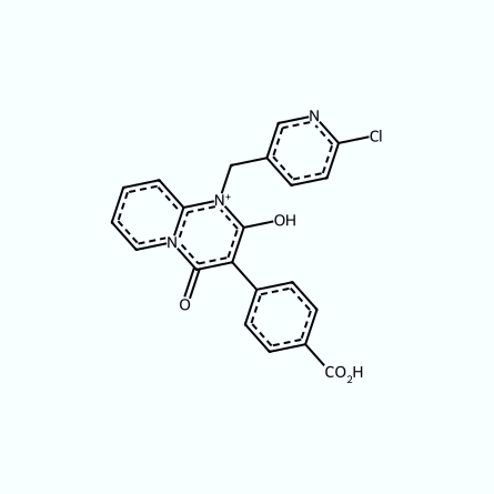 O=C(O)c1ccc(-c2c(O)[n+](Cc3ccc(Cl)nc3)c3ccccn3c2=O)cc1